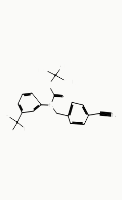 CC(C)(C)OC(=O)N(Cc1ccc(C#N)cc1)c1cccc(C(F)(F)F)c1